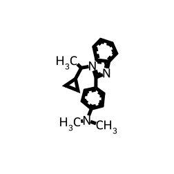 CC(C1CC1)n1c(-c2ccc(N(C)C)cc2)nc2ccccc21